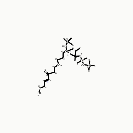 CCC(C)(O[Si](C)(C)O[Si](C)(C)C)O[Si](C)(CCCOCCC(=O)/C=C/COO)O[Si](C)(C)C